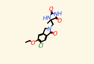 CCOc1cc2c(cc1Cl)C(=O)N(CC1(C)NC(=O)NC1=O)C2